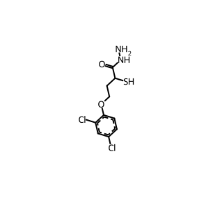 NNC(=O)C(S)CCOc1ccc(Cl)cc1Cl